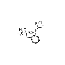 C[N+](C)(C)Cc1ccccc1.FC(F)F.[Cl-]